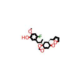 COc1cc(F)c(CC(C)[C@]23C[C@H](Cc4ccco4)C(=O)C=C2OCO3)cc1O